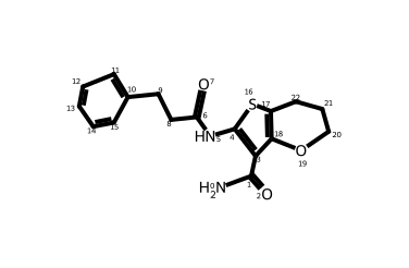 NC(=O)c1c(NC(=O)CCc2ccccc2)sc2c1OCCC2